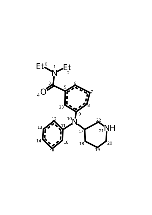 CCN(CC)C(=O)c1cccc(N(c2ccccc2)C2CCCNC2)c1